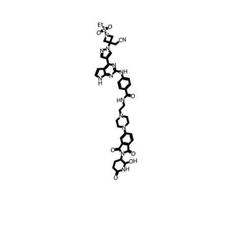 CCS(=O)(=O)N1CC(CC#N)(n2cc(-c3nc(Nc4ccc(C(=O)NCCN5CCN(c6ccc7c(c6)C(=O)N(C6CCC(=O)NC6O)C7=O)CC5)cc4)nc4[nH]ccc34)cn2)C1